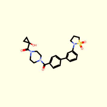 O=C(c1ccc(-c2cccc(N3CCCS3(=O)=O)c2)cc1)N1CCN(C(=O)C2(O)CC2)CC1